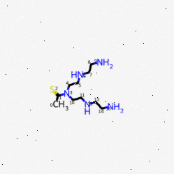 CC(=S)N(CCNCCN)CCNCCN